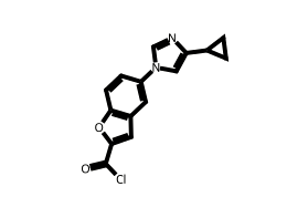 O=C(Cl)c1cc2cc(-n3cnc(C4CC4)c3)ccc2o1